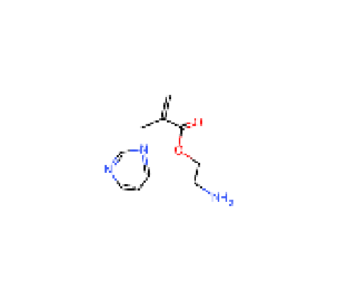 C=C(C)C(=O)OCCN.c1cncnc1